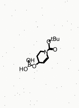 CC(C)(C)OC(=O)N1C=CC(OB(O)O)CC1